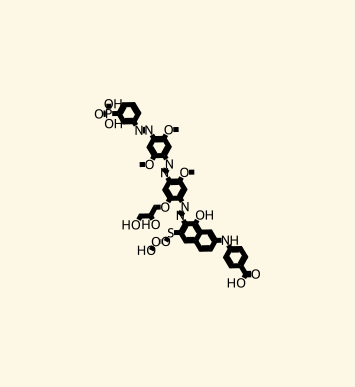 COc1cc(N=Nc2cc(OCC(O)CO)c(N=Nc3c(SOOO)cc4ccc(Nc5ccc(C(=O)O)cc5)cc4c3O)cc2OC)c(OC)cc1N=Nc1cccc(P(=O)(O)O)c1